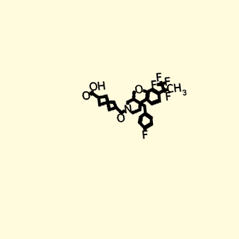 CC(F)(c1ccc2c(c1)OCC1CN(C(=O)C3CC4(CC(C(=O)O)C4)C3)CCC21Cc1ccc(F)cc1)C(F)(F)F